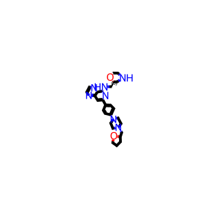 c1cnc2c(NC[C@@H]3CNCCO3)nc(-c3ccc(N4CCN(CC5CCCO5)CC4)cc3)cc2n1